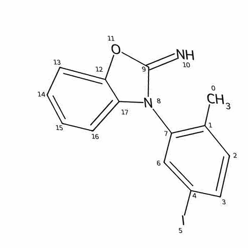 Cc1ccc(I)cc1-n1c(=N)oc2ccccc21